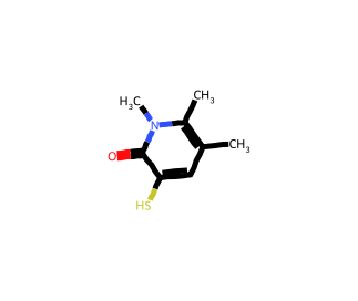 Cc1cc(S)c(=O)n(C)c1C